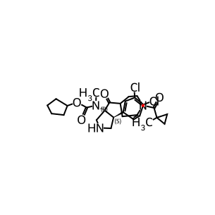 CN(C(=O)OC1CCCC1)[C@@]1(C(=O)C2CCN(C(=O)C3(C)CC3)CC2)CNC[C@@H]1c1ccc(Cl)c(Cl)c1